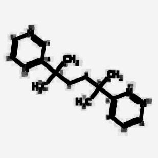 CC(C)(CCC(C)(C)c1cccnn1)c1cnccn1